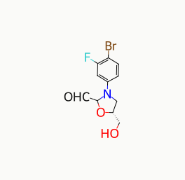 O=CC1O[C@@H](CO)CN1c1ccc(Br)c(F)c1